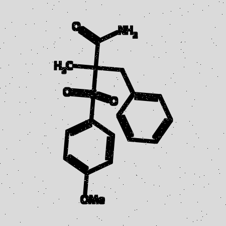 COc1ccc(S(=O)(=O)C(C)(Cc2ccccc2)C(N)=O)cc1